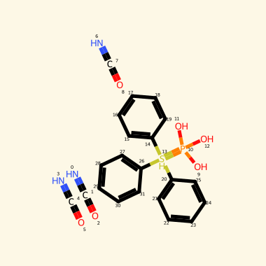 N=C=O.N=C=O.N=C=O.OP(O)(O)=[SH](c1ccccc1)(c1ccccc1)c1ccccc1